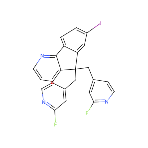 Fc1cc(CC2(Cc3ccnc(F)c3)c3cc(I)ccc3-c3ncccc32)ccn1